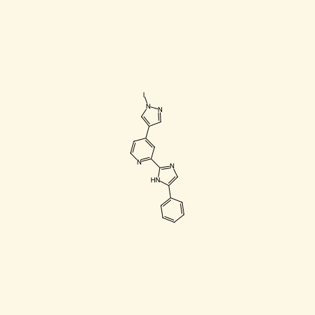 In1cc(-c2ccnc(-c3ncc(-c4ccccc4)[nH]3)c2)cn1